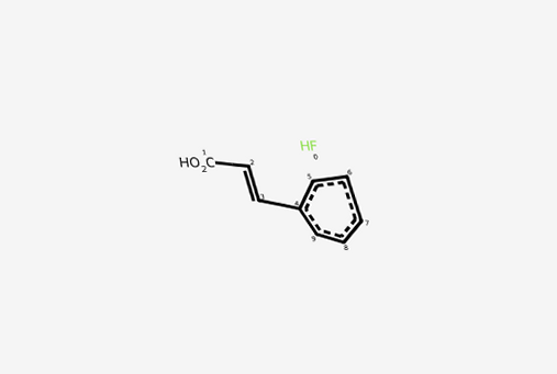 F.O=C(O)C=Cc1ccccc1